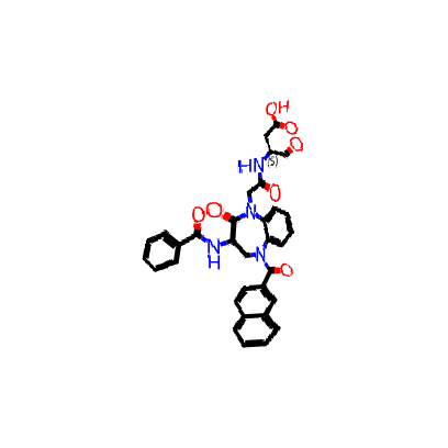 O=C[C@H](CC(=O)O)NC(=O)CN1C(=O)C(NC(=O)c2ccccc2)CN(C(=O)c2ccc3ccccc3c2)c2ccccc21